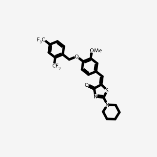 COc1cc(/C=C2/SC(N3CCCCC3)=NC2=O)ccc1OCc1ccc(C(F)(F)F)cc1C(F)(F)F